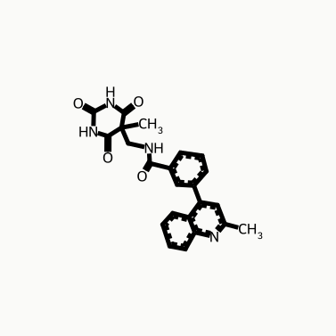 Cc1cc(-c2cccc(C(=O)NCC3(C)C(=O)NC(=O)NC3=O)c2)c2ccccc2n1